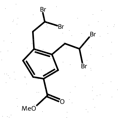 COC(=O)c1ccc(CC(Br)Br)c(CC(Br)Br)c1